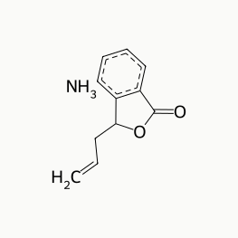 C=CCC1OC(=O)c2ccccc21.N